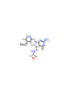 COc1c(C)cnc(CN2CC(CNC3COC3)c3c(Cl)nc(N)nc32)c1C